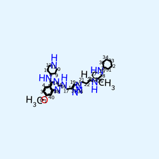 COc1ccc2c(NC3CCNCC3)nc(NCc3cn(CCCNC(C)(C)CNC4CCCCC4)nn3)nc2c1